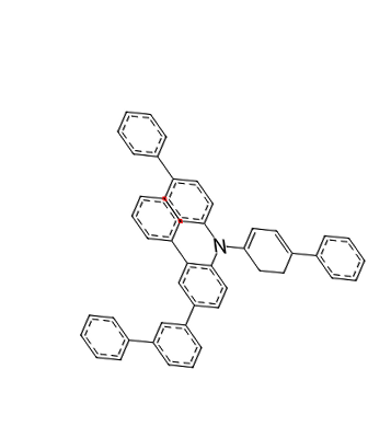 C1=C(c2ccccc2)CCC(N(c2ccc(-c3ccccc3)cc2)c2ccc(-c3cccc(-c4ccccc4)c3)cc2-c2ccccc2)=C1